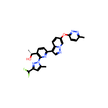 Cc1ccc(Oc2ccc3c(-c4ccc([C@@H](C)O)c(-n5nc(C(F)F)cc5C)n4)cnn3c2)nn1